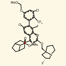 COCOc1cc(Cl)c(C(F)(F)F)c(-c2c(Cl)cc3c(N4CC5CCC(C4)N5C(=O)OC(C)(C)C)nc(OC[C@@]45CCCN4C[C@H](F)C5)nc3c2F)c1